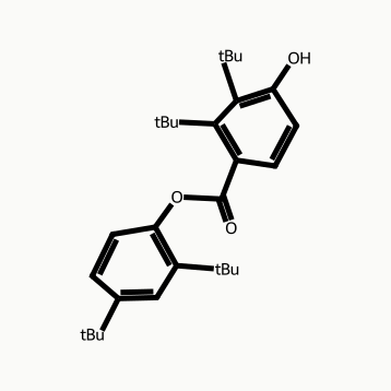 CC(C)(C)c1ccc(OC(=O)c2ccc(O)c(C(C)(C)C)c2C(C)(C)C)c(C(C)(C)C)c1